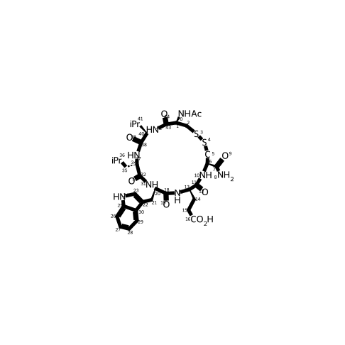 CC(=O)N[C@H]1CSSC[C@@H](C(N)=O)NC(=O)[C@@H](CCC(=O)O)NC(=O)[C@@H](Cc2c[nH]c3ccccc23)NC(=O)[C@H](CC(C)C)NC(=O)[C@@H](C(C)C)NC1=O